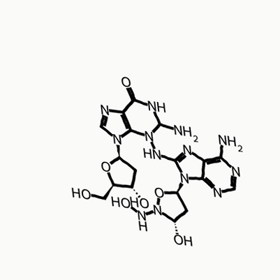 Nc1ncnc2c1nc(NN1c3c(ncn3[C@H]3C[C@H](O)[C@@H](CO)O3)C(=O)NC1N)n2[C@H]1C[C@H](O)N(NO)O1